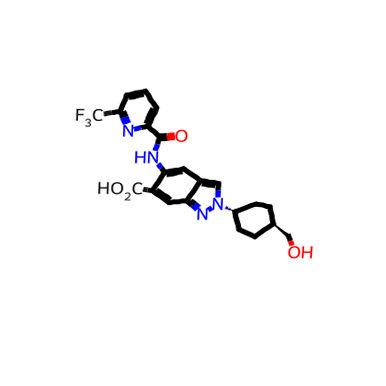 O=C(Nc1cc2cn([C@H]3CC[C@H](CO)CC3)nc2cc1C(=O)O)c1cccc(C(F)(F)F)n1